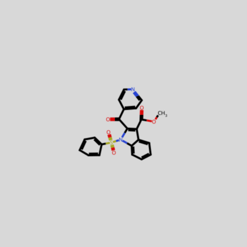 COC(=O)c1c(C(=O)c2ccncc2)n(S(=O)(=O)c2ccccc2)c2ccccc12